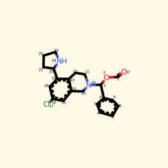 O=COC(c1ccccc1)N1CCc2c(cc(Cl)cc2C2CCCN2)C1